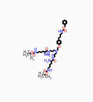 CC(C)(C)OC(=O)NCCCC[C@H](N)C(=O)NCCCN(CCCNC(=O)[C@@H](N)CCCCNC(=O)OC(C)(C)C)CCOc1ccc(CCCCNC(=O)OCc2ccccc2)cc1